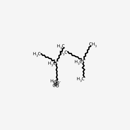 CCCCCCCCCC[N+](C)(CCCCCCCCCC)CCCCCCCCCC.CCCCCCCCCC[N+](C)(CCCCCCCCCC)CCCCCCCCCC.O=S(=O)([O-])[O-]